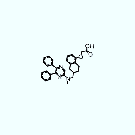 CN(CC1CCc2c(cccc2OCC(=O)O)C1)c1cnc(-c2ccccc2)c(-c2ccccc2)n1